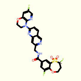 O=C(NCc1cc2nc(N3CCOc4cc(F)cnc43)ccc2cn1)c1cc(F)c2c(c1)S(=O)(=O)[C@@H](F)CCO2